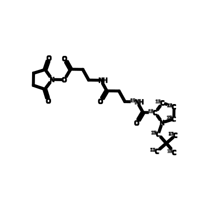 [13CH3]C([13CH3])([13CH3])[13CH2]N1[13CH2][13CH2][13CH2][13CH]1C(=O)[15NH]CCC(=O)NCCC(=O)ON1C(=O)CCC1=O